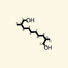 CC(CO)CCCCCCC(C)CO